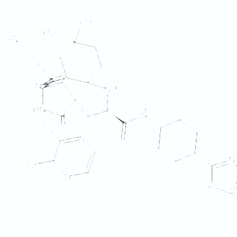 CC1(C)CCC2(CC1)N[C@@H](C(=O)NC1CCC(c3nnco3)CC1)[C@H](c1ccnc(Cl)c1F)[C@]21C(=O)Nc2nc(Cl)ccc21